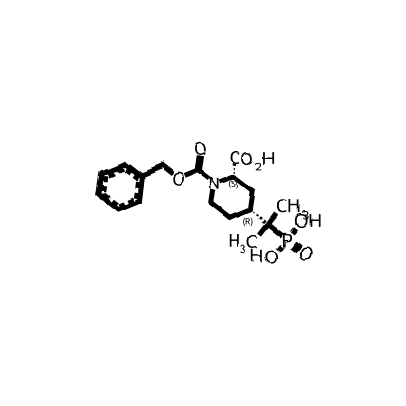 CC(C)([C@@H]1CCN(C(=O)OCc2ccccc2)[C@H](C(=O)O)C1)P(=O)(O)O